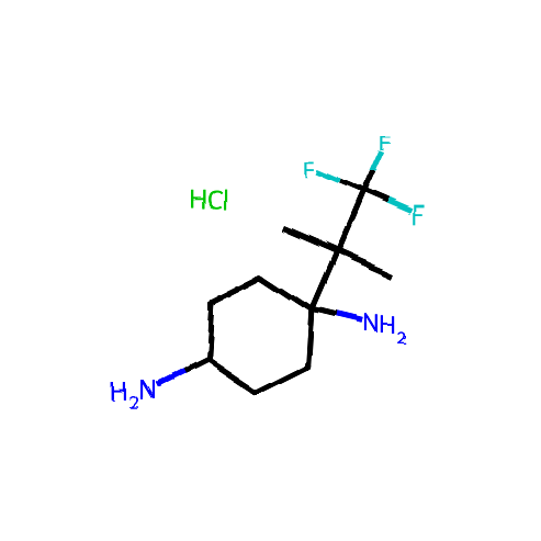 CC(C)(C(F)(F)F)C1(N)CCC(N)CC1.Cl